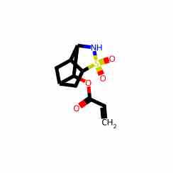 C=CC(=O)OC1C2CC3C1NS(=O)(=O)C3C2